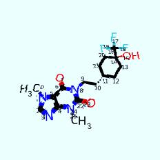 Cn1cnc2c1c(=O)n(CC[C@H]1CC[C@@](O)(C(F)(F)F)CC1)c(=O)n2C